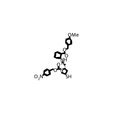 COc1ccc(COC(=O)c2ccccc2NN=C[C@@H]2C[C@H](S)CN2C(=O)OCc2ccc([N+](=O)[O-])cc2)cc1